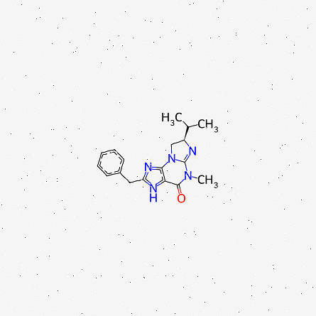 CC(C)[C@@H]1CN2C(=N1)N(C)C(=O)c1[nH]c(Cc3ccccc3)nc12